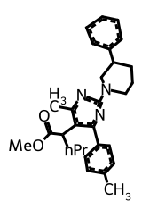 CCCC(C(=O)OC)c1c(C)nc(N2CCCC(c3ccccc3)C2)nc1-c1ccc(C)cc1